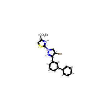 CCOC(=O)c1csc(-n2cc(Br)c(-c3cccc(-c4ccccc4)c3)n2)n1